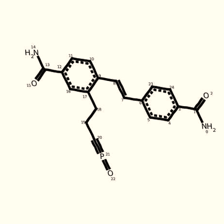 NC(=O)c1ccc(C=Cc2ccc(C(N)=O)cc2CCC#P=O)cc1